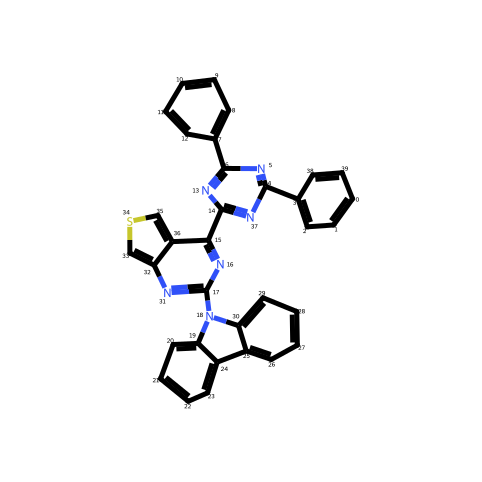 c1ccc(-c2nc(-c3ccccc3)nc(-c3nc(-n4c5ccccc5c5ccccc54)nc4cscc34)n2)cc1